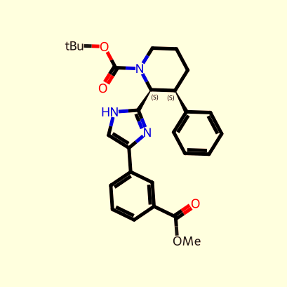 COC(=O)c1cccc(-c2c[nH]c([C@@H]3[C@H](c4ccccc4)CCCN3C(=O)OC(C)(C)C)n2)c1